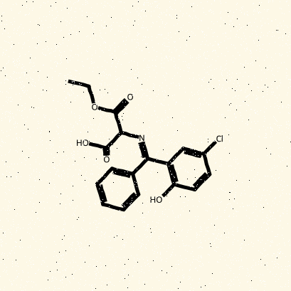 CCOC(=O)C(N=C(c1ccccc1)c1cc(Cl)ccc1O)C(=O)O